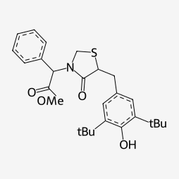 COC(=O)C(c1ccccc1)N1CSC(Cc2cc(C(C)(C)C)c(O)c(C(C)(C)C)c2)C1=O